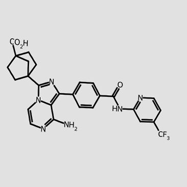 Nc1nccn2c(C34CCC(C(=O)O)(CC3)C4)nc(-c3ccc(C(=O)Nc4cc(C(F)(F)F)ccn4)cc3)c12